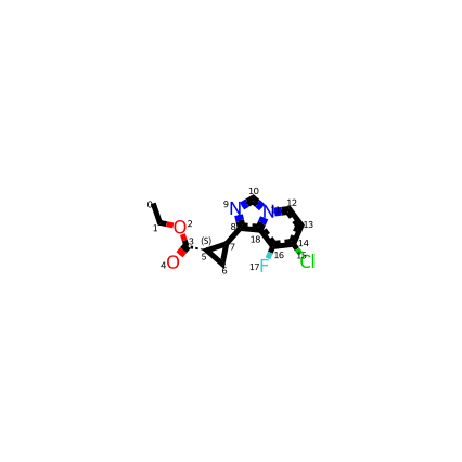 CCOC(=O)[C@H]1CC1c1ncn2ccc(Cl)c(F)c12